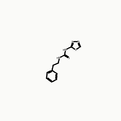 S=C(NCCc1ccccc1)Nc1nncs1